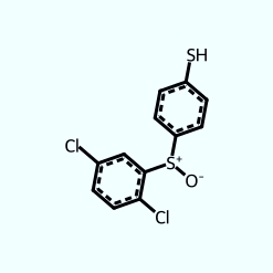 [O-][S+](c1ccc(S)cc1)c1cc(Cl)ccc1Cl